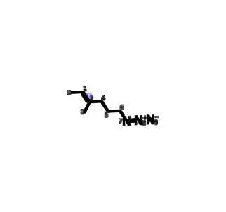 C/C=C(\C)CCCN=[N+]=[N-]